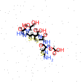 Nc1nc(C(=NOCC(=O)O)C(=O)NC2C(=O)N3C(C(=O)O)=C(C=C(S)c4n[nH]c(=O)c(=O)n4CC(O)CO)CSC23)cs1